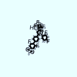 CS(=O)(=O)c1cc(F)c(-c2ccc(C3CC(C(O)(C(F)(F)F)C(F)(F)F)=NN3c3ccc(F)cc3F)cc2)c(F)c1